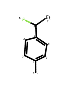 [CH2]c1ccc(C(F)CC)cc1